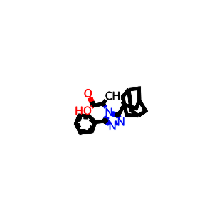 CC(C(=O)O)n1c(-c2ccccc2)nnc1C12CC3CC(CC(C3)C1)C2